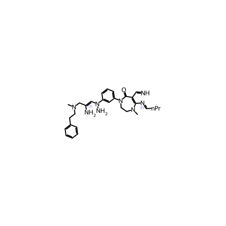 CCC/C=N/C1=C(C=N)C(=O)N(c2cccc(N(N)/C=C(\N)CN(C)CCc3ccccc3)c2)CCN1C